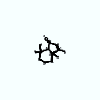 CC1=CC(=O)C2C(C)(C)CCCC12C